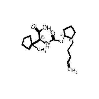 C=CCCC[C@@H]1CCC[C@H]1OC(=O)N[C@H](C(=O)O)C1(C)CCCC1